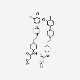 CCOCC(=O)NC1CCC(CCN2CCN(c3ccc(C)c(Cl)c3)CC2)CC1.CCOCC(=O)NC1CCC(CCN2CCN(c3ccc(Cl)c(Cl)c3)CC2)CC1